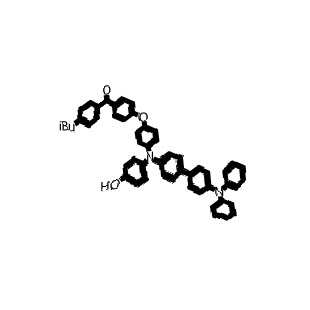 CCC(C)c1ccc(C(=O)c2ccc(Oc3ccc(N(c4ccc(O)cc4)c4ccc(-c5ccc(N(c6ccccc6)c6ccccc6)cc5)cc4)cc3)cc2)cc1